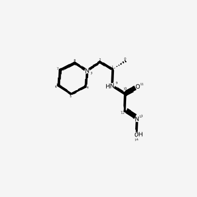 C[C@@H](CN1CCCCC1)NC(=O)/C=N/O